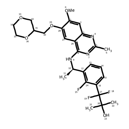 COc1cc2nc(C)nc(N[C@H](C)c3cccc(C(F)(F)C(C)(C)O)c3F)c2cc1OCC1COCCO1